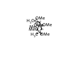 CO[Si](C)(C[Si](C[Si](C)(OC)OC)(OC)OC)OC